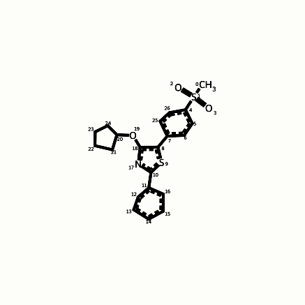 CS(=O)(=O)c1ccc(-c2sc(-c3ccccc3)nc2OC2CCCC2)cc1